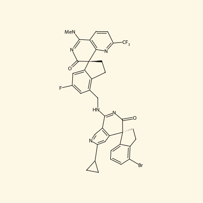 CNC1=NC(=O)[C@]2(CCc3c(CNC4=NC(=O)[C@]5(CCc6c(Br)cccc65)c5cc(C6CC6)ncc54)cc(F)cc32)c2nc(C(F)(F)F)ccc21